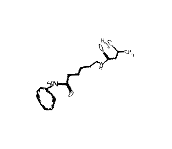 CC(C)CC(=O)NCCCCCC(=O)Nc1ccccc1